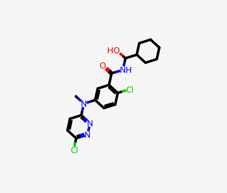 CN(c1ccc(Cl)c(C(=O)NC(O)C2CCCCC2)c1)c1ccc(Cl)nn1